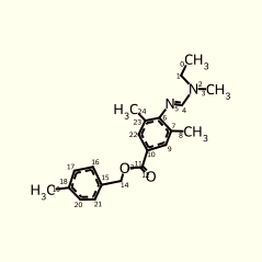 CCN(C)/C=N/c1c(C)cc(C(=O)OCc2ccc(C)cc2)cc1C